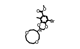 COC(=O)c1cc(Br)c2c(c1C)O[C@H](C1CCOCCCCOCC1)CO2